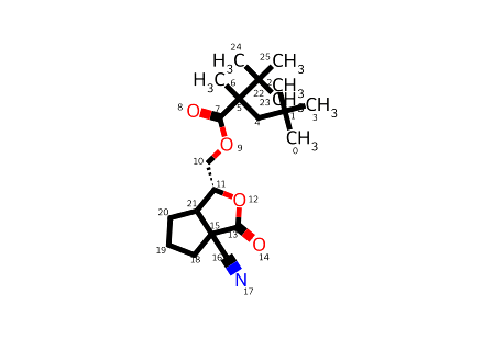 CC(C)(C)CC(C)(C(=O)OC[C@@H]1OC(=O)C2(C#N)CCCC12)C(C)(C)C